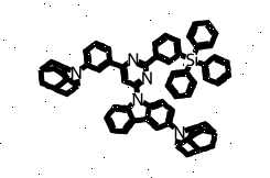 c1ccc([Si](c2ccccc2)(c2ccccc2)c2cccc(-c3nc(-c4cccc(N5C6CC7CC(C6)CC5C7)c4)cc(-n4c5ccccc5c5cc(N6C7CC8CC(C7)CC6C8)ccc54)n3)c2)cc1